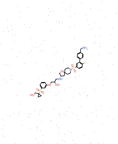 NCc1ccc(-c2cc(S(=O)(=O)N3CCC4(CC3)C[C@H](NCC(O)COc3cccc(S(=O)(=O)C5(CO)CC5)c3)CO4)ccc2F)cc1